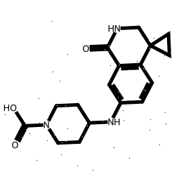 O=C1NCC2(CC2)c2ccc(NC3CCN(C(=O)O)CC3)cc21